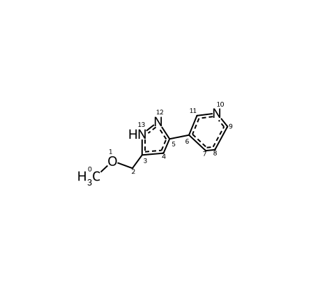 COCc1cc(-c2cccnc2)n[nH]1